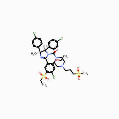 CCOc1cc(Cl)c(S(=O)(=O)CC)cc1C1=N[C@@](C)(c2ccc(Cl)cc2)[C@@](C)(c2ccc(Cl)cc2)N1C(=O)N1CCN(CCCS(C)(=O)=O)CC1